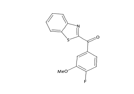 COc1cc(C(=O)c2nc3ccccc3s2)ccc1F